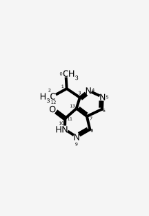 CC(C)c1nncc2cn[nH]c(=O)c12